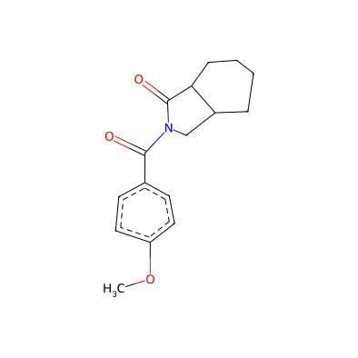 COc1ccc(C(=O)N2CC3CCCCC3C2=O)cc1